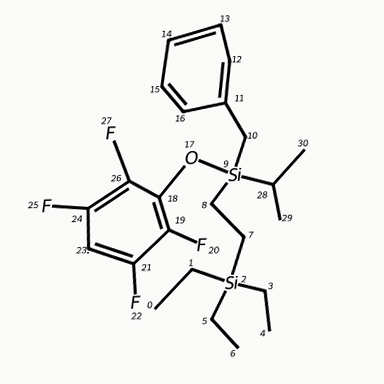 CC[Si](CC)(CC)CC[Si](Cc1ccccc1)(Oc1c(F)c(F)[c]c(F)c1F)C(C)C